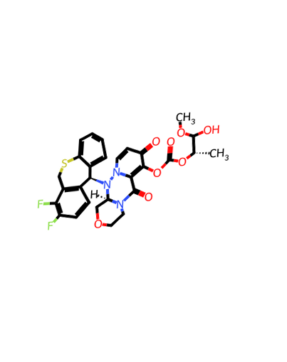 COC(O)[C@H](C)OC(=O)Oc1c2n(ccc1=O)N([C@@H]1c3ccccc3SCc3c1ccc(F)c3F)[C@@H]1COCCN1C2=O